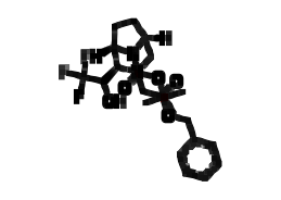 CC(C)(C)OC(=O)N1[C@@H]2CC[C@H]1[C@H](C(O)C(F)(F)F)N(CC(=O)OCc1ccccc1)C2